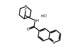 Cl.O=C(NC1CN2CCC1CC2)c1ccc2ncccc2c1